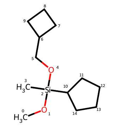 CO[Si](C)(OCC1CCC1)C1CCCC1